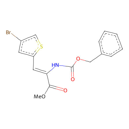 COC(=O)/C(=C/c1cc(Br)cs1)NC(=O)OCc1ccccc1